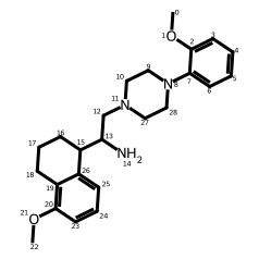 COc1ccccc1N1CCN(CC(N)C2CCCc3c(OC)cccc32)CC1